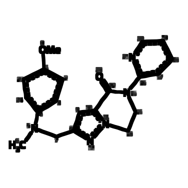 COc1ccc(N(C)Cc2cc3n(n2)CCN(c2ccccn2)C3=O)cc1